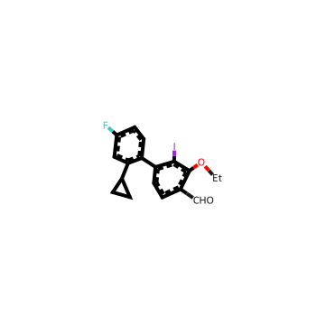 CCOc1c(C=O)ccc(-c2ccc(F)cc2C2CC2)c1I